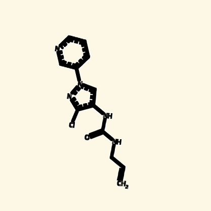 C=CCNC(=O)Nc1cn(-c2cccnc2)nc1Cl